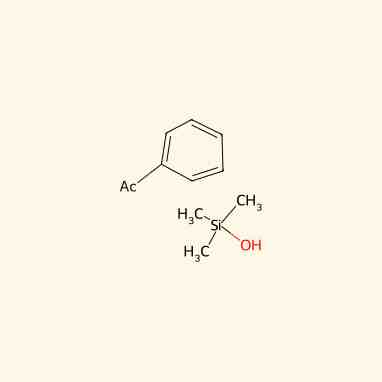 CC(=O)c1ccccc1.C[Si](C)(C)O